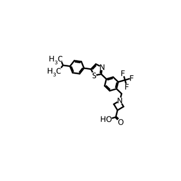 CC(C)c1ccc(-c2cnc(-c3ccc(CN4CC(C(=O)O)C4)c(C(F)(F)F)c3)s2)cc1